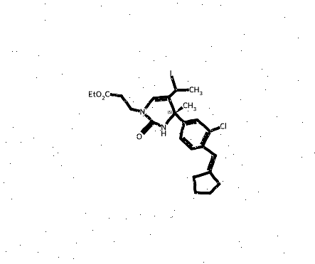 CCOC(=O)CCN1C=C(C(C)I)[C@](C)(c2ccc(C=C3CCCC3)c(Cl)c2)NC1=O